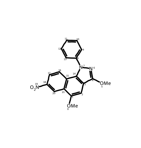 COc1cc2c(OC)nn(-c3ccccc3)c2c2ccc([N+](=O)[O-])cc12